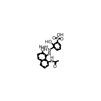 CC(=O)Nc1cccc2ccc(O)c(N=Nc3cccc(S(=O)(=O)O)c3O)c12.[NaH]